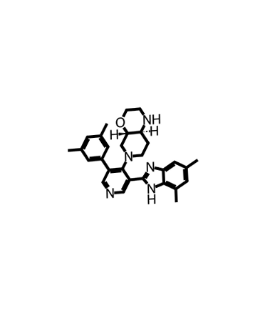 Cc1cc(C)cc(-c2cncc(-c3nc4cc(C)cc(C)c4[nH]3)c2N2CC[C@@H]3NCCO[C@H]3C2)c1